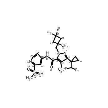 CC1(Cn2nc(C3(C(F)F)CC3)c(C(F)(F)F)c2C(=O)Nc2ccnc(S(C)(=N)=O)c2)CC(F)(F)C1